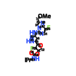 COCc1cn2c(Nc3cc([C@H]4OC[C@@H](OC(=O)NC(C)C)[C@@H]4F)[nH]n3)ncc(F)c2n1